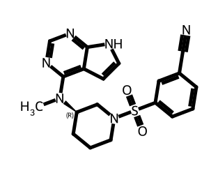 CN(c1ncnc2[nH]ccc12)[C@@H]1CCCN(S(=O)(=O)c2cccc(C#N)c2)C1